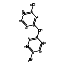 Clc1cc(Oc2cnc(Br)cn2)ccn1